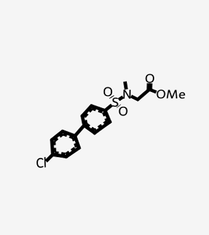 COC(=O)CN(C)S(=O)(=O)c1ccc(-c2ccc(Cl)cc2)cc1